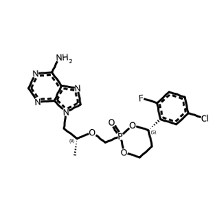 C[C@H](Cn1cnc2c(N)ncnc21)OCP1(=O)OCC[C@@H](c2cc(Cl)ccc2F)O1